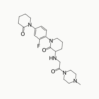 CN1CCN(C(=O)CNC2CCCN(c3ccc(N4CCCCC4=O)cc3F)C2=O)CC1